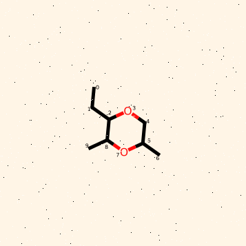 CCC1OCC(C)OC1C